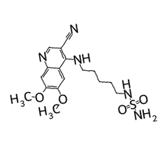 COc1cc2ncc(C#N)c(NCCCCCNS(N)(=O)=O)c2cc1OC